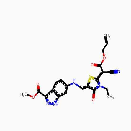 C=CCOC(=O)C(C#N)=c1sc(=CNc2ccc3c(C(=O)OC)n[nH]c3c2)c(=O)n1CC